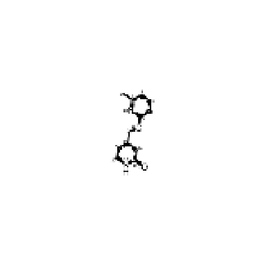 Cc1cccc(OCc2cc[nH]c(=O)c2)n1